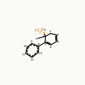 CC1(P)CC=CC=C1c1ccccc1